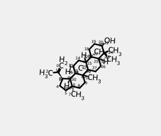 C=C(C)[C@@H]1CC[C@]2(C)CC[C@]3(C)[C@H](CC[C@@H]4[C@@]5(C)CC[C@@H](O)C(C)(C)[C@@H]5CC[C@]43C)[C@@H]12